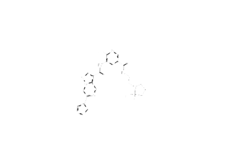 Cc1ncc(C(=O)NCCN2CCCC2(C)C)cc1NC(=O)c1cnn2cc(-c3cnsc3)ncc12